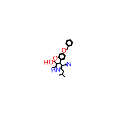 CC1=C(C(=O)O)C(c2ccc(OCc3ccccc3)cc2)C(C#N)=C(CC(C)C)N1